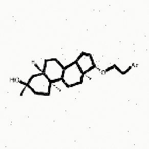 CC(=O)CCO[C@H]1CCC2C3CC[C@H]4C[C@@](C)(O)CC[C@]4(C)C3CC[C@@]21C